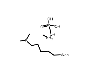 CCCCCCCCCCCCCCP(C)C.CN.O=P(O)(O)O